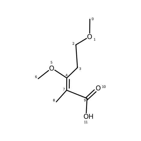 COCCC(OC)=C(C)C(=O)O